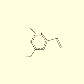 C=Cc1cc(CC)nc(C)n1